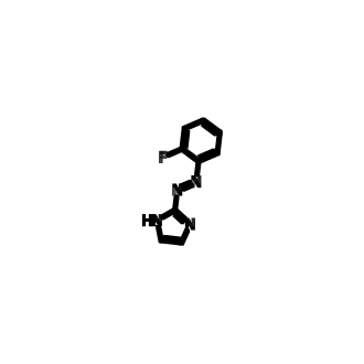 Fc1ccccc1/N=N/c1ncc[nH]1